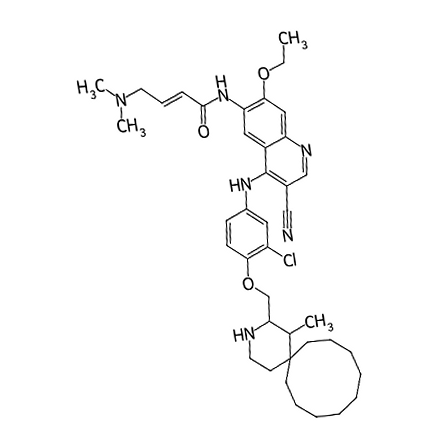 CCOc1cc2ncc(C#N)c(Nc3ccc(OCC4NCCC5(CCCCCCCCC5)C4C)c(Cl)c3)c2cc1NC(=O)/C=C/CN(C)C